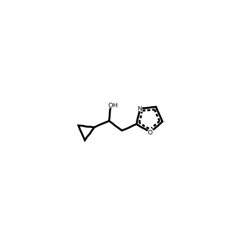 OC(Cc1nc[c]o1)C1CC1